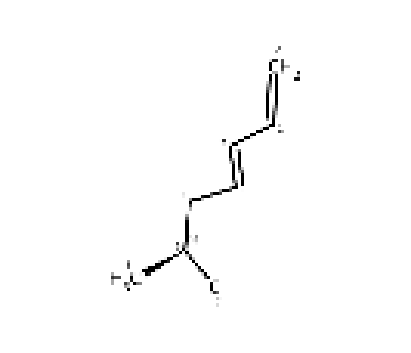 C=CC=CC[C@H](C)Cl